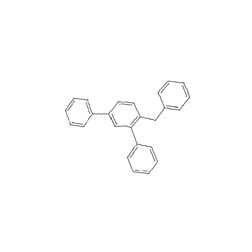 c1ccc(Cc2ccc(-c3ccccc3)cc2-c2ccccc2)cc1